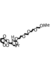 COCCOCCOCCOCCOC(=O)N[C@@H](CC(C)C)C(=O)ON1C(=O)CCC1=O